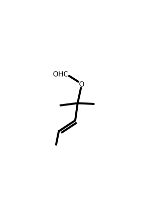 CC=CC(C)(C)OC=O